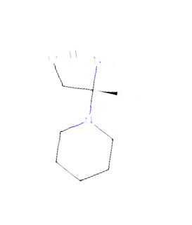 C[C@](N)(CC(=O)O)N1CCCCC1